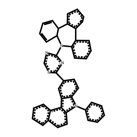 C1=CC2c3ccccc3-c3ccccc3N(c3ncnc(-c4ccc5c(c4)c4c6ccccc6ccc4n5-c4ccccc4)n3)C2C=C1